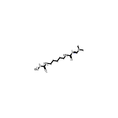 CN(C)/C=N/C(=S)NCCCCCNC(=O)OC(C)(C)C